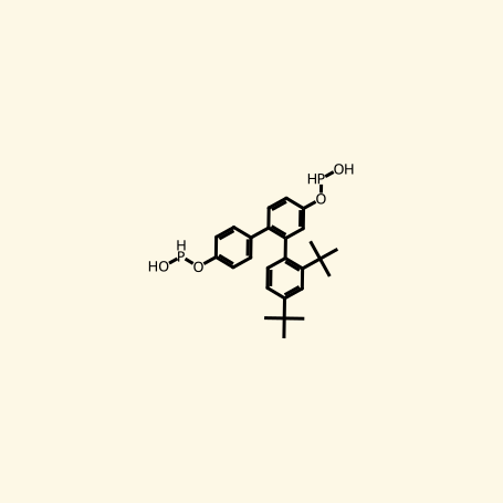 CC(C)(C)c1ccc(-c2cc(OPO)ccc2-c2ccc(OPO)cc2)c(C(C)(C)C)c1